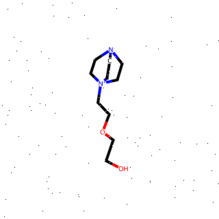 OCCOCC[N+]12CCN(CC1)CC2